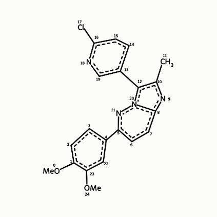 COc1ccc(-c2ccc3nc(C)c(-c4ccc(Cl)nc4)n3n2)cc1OC